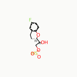 O=[SH](=O)OC[C@@H](O)[C@@H]1CCc2cc(F)ccc2O1